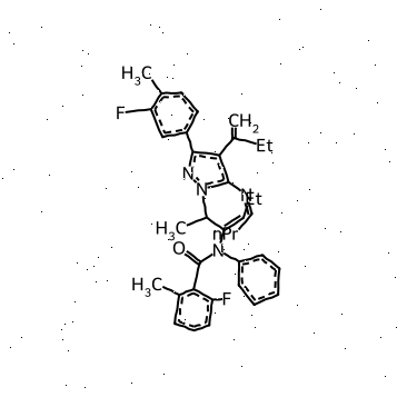 C=C(CC)c1c(-c2ccc(C)c(F)c2)nn(C(C)/C(=C\CC)N(C(=O)c2c(C)cccc2F)c2ccccc2)c1/N=C\CCC